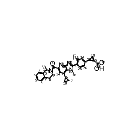 C[C@@H]1c2ccccc2CCN1C(=O)c1cc(C2CC2)c2c(n1)nc(-c1ccc(C3C[C@H]3C(=O)O)cc1F)n2C